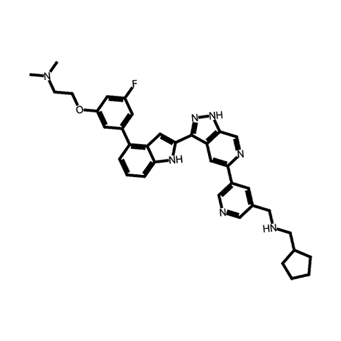 CN(C)CCOc1cc(F)cc(-c2cccc3[nH]c(-c4n[nH]c5cnc(-c6cncc(CNCC7CCCC7)c6)cc45)cc23)c1